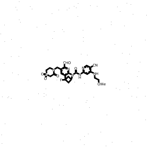 COCCNc1cc(NC(=O)N2c3nc(C=O)c(CN4CCS(=O)(=O)CC4=O)cc3C3(F)CC2C3)ncc1C#N